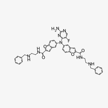 Nc1ncc(F)c(N(c2ccc3oc(C(=O)NCCNCc4ccccc4)cc3c2)c2ccc3oc(C(=O)NCCNCc4ccccc4)cc3c2)n1